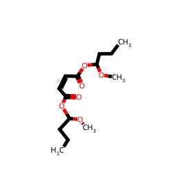 CCCC(OC)OC(=O)/C=C\C(=O)OC(CCC)OC